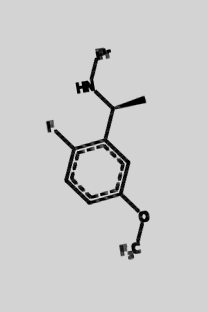 CC(C)N[C@@H](C)c1cc(OC(F)(F)F)ccc1F